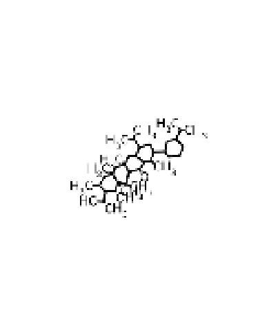 CC(C)C1CCCC(C2CC(C(C)C)C3CC4(C)CC5(C)CC(C)C(C(C)O)C(O)C5(C)C(C)C4C(=O)C3C2C)C1